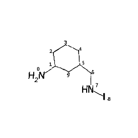 NC1CCCC(CNI)C1